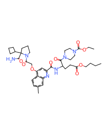 CCCCOC(=O)CCC(NC(=O)c1cc(OCC(=O)N2CCCC2(C(N)=O)C2CCC2)c2ccc(C)cc2n1)C(=O)N1CCN(C(=O)OCC)CC1